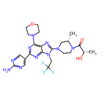 C[C@H](O)C(=O)N1CCN(c2nc3c(N4CCOCC4)nc(-c4cnc(N)nc4)nc3n2CC(F)(F)F)C[C@@H]1C